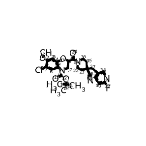 COc1cc2c(cc1Cl)N(C(=O)OC(C)(C)C)CC(C(=O)N1CCC(C#N)(Cc3ccc(F)nc3)CC1)O2